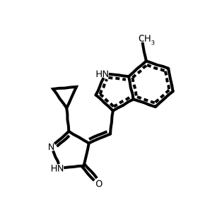 Cc1cccc2c(C=C3C(=O)NN=C3C3CC3)c[nH]c12